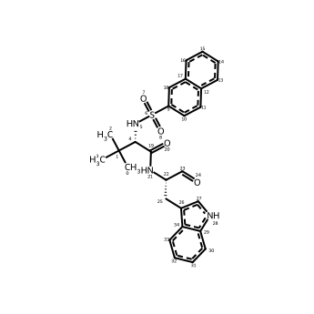 CC(C)(C)[C@H](NS(=O)(=O)c1ccc2ccccc2c1)C(=O)N[C@H](C=O)Cc1c[nH]c2ccccc12